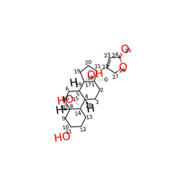 C[C@]12CC[C@H]3[C@@H](CC[C@H]4C[C@@H](O)CC[C@@]43CO)[C@@]1(O)CC[C@@H]2C1=CC(=O)OC1